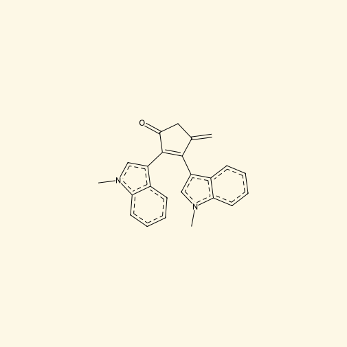 C=C1CC(=O)C(c2cn(C)c3ccccc23)=C1c1cn(C)c2ccccc12